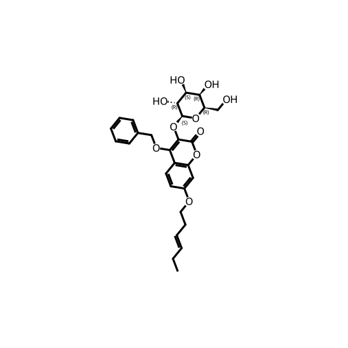 CCC=CCCOc1ccc2c(OCc3ccccc3)c(O[C@@H]3O[C@H](CO)[C@H](O)[C@H](O)[C@H]3O)c(=O)oc2c1